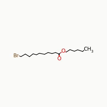 CCCCCCOC(=O)CCCCCCCCCCBr